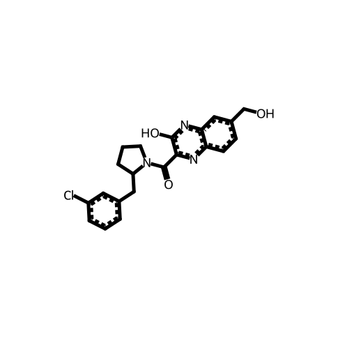 O=C(c1nc2ccc(CO)cc2nc1O)N1CCCC1Cc1cccc(Cl)c1